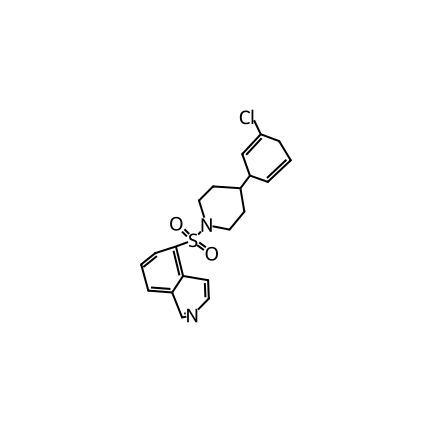 O=S(=O)(c1cccc2cnccc12)N1CCC(C2C=CCC(Cl)=C2)CC1